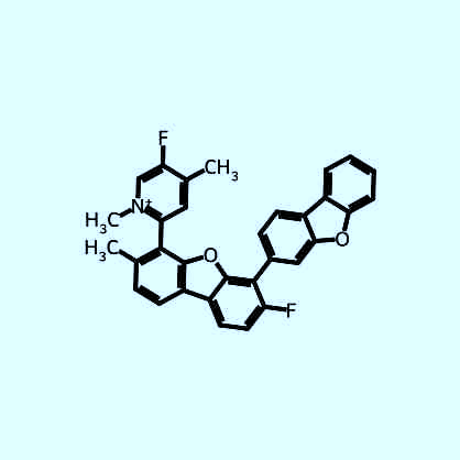 Cc1cc(-c2c(C)ccc3c2oc2c(-c4ccc5c(c4)oc4ccccc45)c(F)ccc23)[n+](C)cc1F